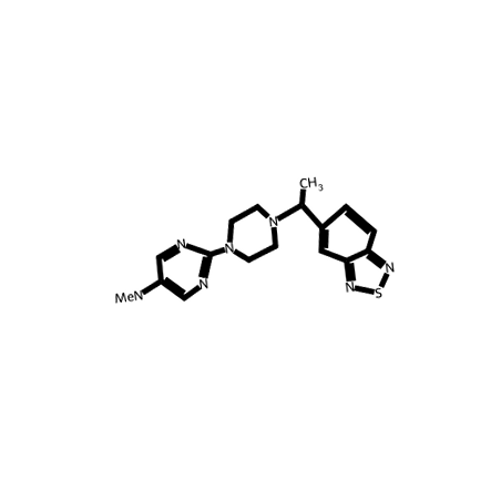 CNc1cnc(N2CCN(C(C)c3ccc4nsnc4c3)CC2)nc1